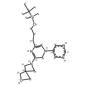 CC(C)(C)[Si](C)(C)OCCCC1=CN(c2cncnc2)CC(N2CC3(COC3)C2)=N1